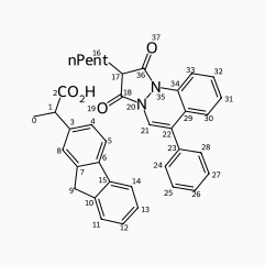 CC(C(=O)O)c1ccc2c(c1)Cc1ccccc1-2.CCCCCC1C(=O)N2C=C(c3ccccc3)c3ccccc3N2C1=O